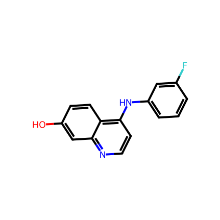 Oc1ccc2c(Nc3cccc(F)c3)ccnc2c1